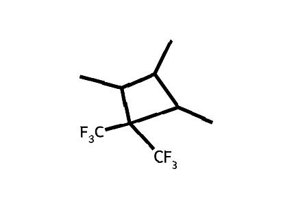 CC1C(C)C(C(F)(F)F)(C(F)(F)F)C1C